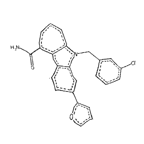 NC(=O)c1cccc2c1c1[c]cc(-c3ccco3)cc1n2Cc1cccc(Cl)c1